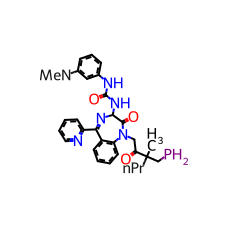 CCCC(C)(CP)C(=O)CN1C(=O)C(NC(=O)Nc2cccc(NC)c2)N=C(c2ccccn2)c2ccccc21